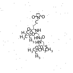 CSCCC(NC(=O)OC(C)(C)C)C(=O)NCC(=O)NC(CCCCN1C(=O)C=CC1=O)C(=O)OC(C)(C)C